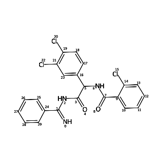 N=C(NC(=O)C(NC(=O)c1ccccc1Cl)c1ccc(Cl)c(Cl)c1)c1ccccc1